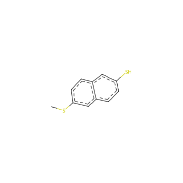 CSc1ccc2cc(S)ccc2c1